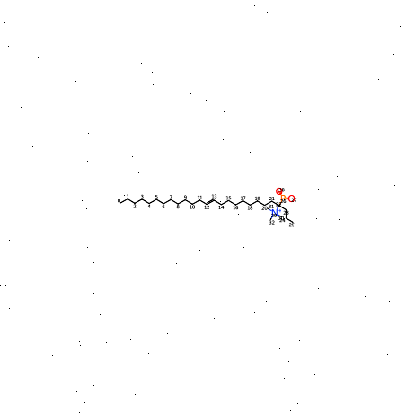 CCCCCCCCCCCCC=CCCCCCCCCC(CCC)(P(=O)=O)[N+](C)(C)C